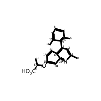 Cc1cc(-c2c(C)cccc2C)c2ccc(O[C@H](C)C(=O)O)cc2n1